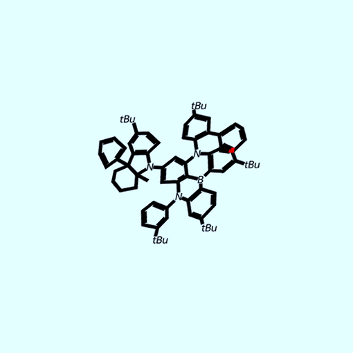 CC(C)(C)c1cccc(N2c3cc(C(C)(C)C)ccc3B3c4cc(C(C)(C)C)ccc4N(c4ccc(C(C)(C)C)cc4-c4ccccc4)c4cc(N5c6ccc(C(C)(C)C)cc6C6(c7ccccc7)CCCCC56C)cc2c43)c1